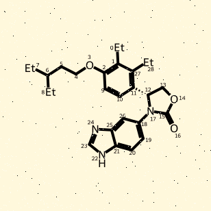 CCc1c(OCCC(CC)CC)ccc([C@@H]2COC(=O)N2c2ccc3[nH]cnc3c2)c1CC